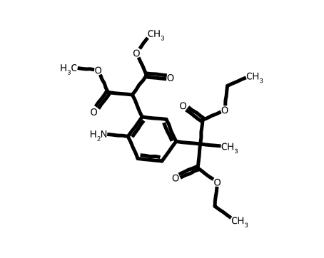 CCOC(=O)C(C)(C(=O)OCC)c1ccc(N)c(C(C(=O)OC)C(=O)OC)c1